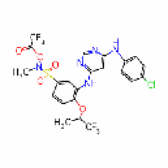 CC(Oc1ccc(S(=O)(=O)N(C)OC(=O)C(F)(F)F)cc1Nc1cc(Nc2ccc(Cl)cc2)ncn1)C(F)(F)F